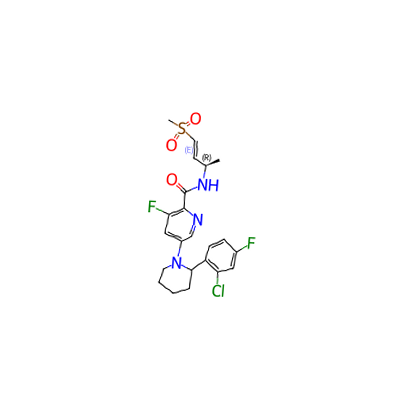 C[C@H](/C=C/S(C)(=O)=O)NC(=O)c1ncc(N2CCCCC2c2ccc(F)cc2Cl)cc1F